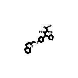 N=C(C(O)C(=O)O)C(c1ccc(OCc2ccc3ccccc3n2)cc1)C1CCCC1